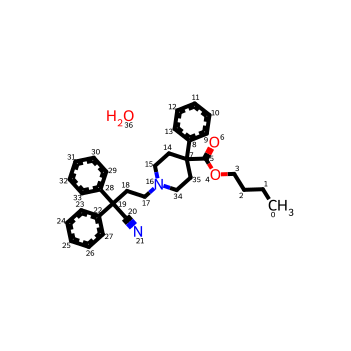 CCCCOC(=O)C1(c2ccccc2)CCN(CCC(C#N)(c2ccccc2)c2ccccc2)CC1.O